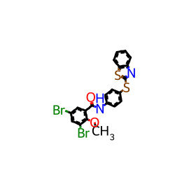 COc1c(Br)cc(Br)cc1C(=O)Nc1ccc(Sc2nc3ccccc3s2)cc1